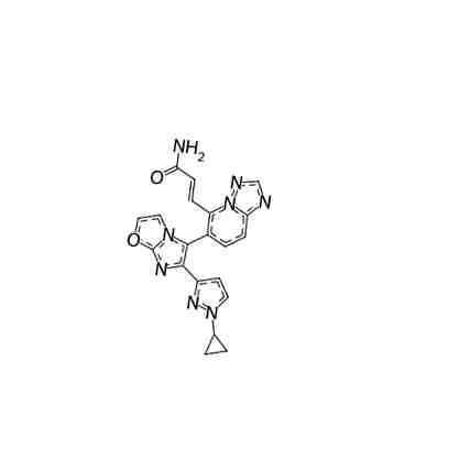 NC(=O)/C=C/c1c(-c2c(-c3ccn(C4CC4)n3)nc3occn23)ccc2ncnn12